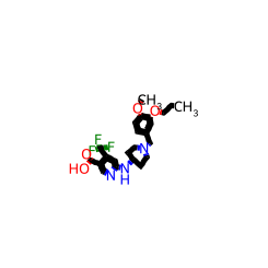 CCCOc1cc(CN2CCC(Nc3cc(C(F)(F)F)c(C(=O)O)cn3)CC2)ccc1OC